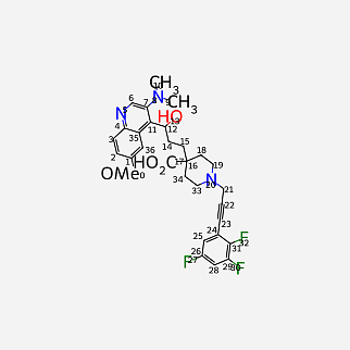 COc1ccc2ncc(N(C)C)c(C(O)CCC3(C(=O)O)CCN(CC#Cc4cc(F)cc(F)c4F)CC3)c2c1